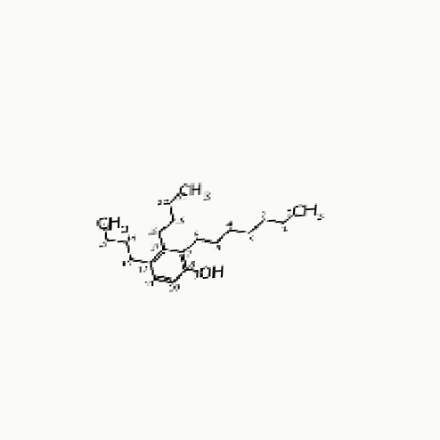 CCCCCCCc1c(O)ccc(CCCC)c1CCCC